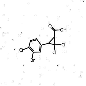 O=C(O)C1C(c2ccc(Cl)c(Br)c2)C1(Cl)Cl